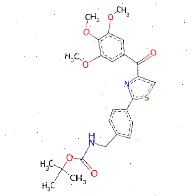 COc1cc(C(=O)c2csc(-c3ccc(CNC(=O)OC(C)(C)C)cc3)n2)cc(OC)c1OC